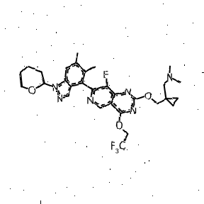 Cc1cc2c(cnn2C2CCCCO2)c(-c2ncc3c(OCC(F)(F)F)nc(OCC4(CN(C)C)CC4)nc3c2F)c1C